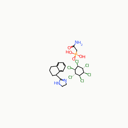 Cl[C@H]1[C@H](Cl)[C@@H](Cl)[C@@H](Cl)[C@H](Cl)[C@H]1Cl.NC(=O)CP(=O)(O)O.c1ccc2c(c1)CCCC2C1=NCCN1